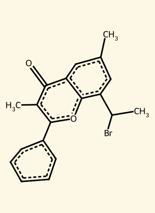 Cc1cc(C(C)Br)c2oc(-c3ccccc3)c(C)c(=O)c2c1